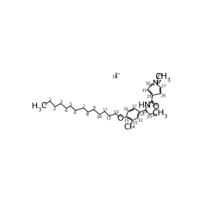 CCCCCCCCCCCCCCOc1ccc(C(CC)NC(=O)c2cc[n+](C)cc2)cc1Cl.[I-]